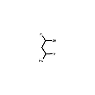 SC(S)CC(S)S